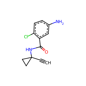 C#CC1(NC(=O)c2cc(N)ccc2Cl)CC1